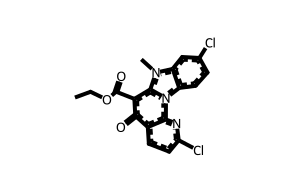 CCOC(=O)c1c(=O)c2ccc(Cl)nc2n2c3ccc(Cl)cc3n(C)c12